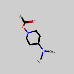 CN(C)C1CCN(OC(=O)C(F)(F)F)CC1